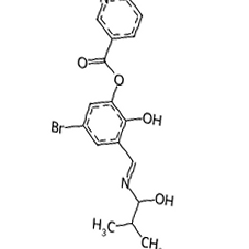 CC(C)C(O)/N=C/c1cc(Br)cc(OC(=O)c2cccnc2)c1O